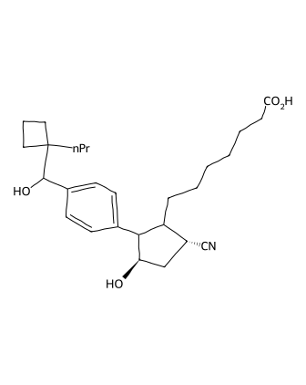 CCCC1(C(O)c2ccc(C3C(CCCCCCC(=O)O)[C@H](C#N)C[C@H]3O)cc2)CCC1